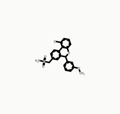 COc1cccc(C2Oc3cccc(Cl)c3-c3ccc(CS(N)(=O)=O)cc32)c1